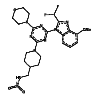 COc1cccc2c1nc(C(F)F)n2-c1nc(N2CCOCC2)nc(N2CCC(CN[SH](=O)=O)CC2)n1